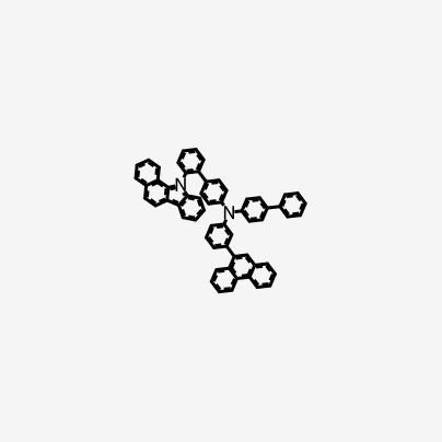 c1ccc(-c2ccc(N(c3ccc(-c4ccccc4-n4c5ccccc5c5ccc6ccccc6c54)cc3)c3cccc(-c4cc5ccccc5c5ccccc45)c3)cc2)cc1